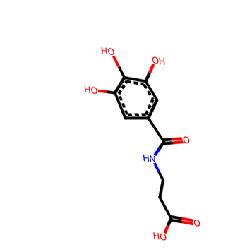 O=C(O)CCNC(=O)c1cc(O)c(O)c(O)c1